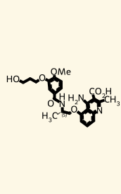 COc1ccc(C(=O)N[C@@H](C)COc2cccc3nc(C)c(C(=O)O)c(N)c23)cc1OCCCO